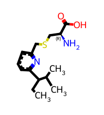 CCC(c1cccc(CSC[C@H](N)C(=O)O)n1)C(C)C